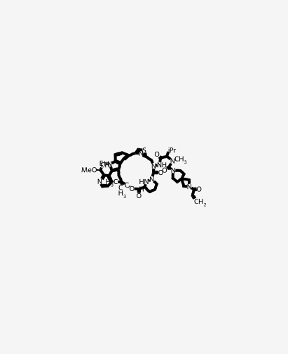 C=CC(=O)N1CC2(CCN(C(=O)N(C)C(C(=O)NN3Cc4nc(cs4)-c4ccc5c(c4)c(c(-c4cccnc4[C@H](C)OC)n5CC)CC(C)(C)COC(=O)[C@@H]4CCCN(N4)C3=O)C(C)C)CC2)C1